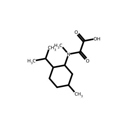 CC1CCC(C(C)C)C(N(C)C(=O)C(=O)O)C1